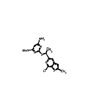 CSc1cc(N)nc(SC(C)c2cc3cc(C)sc3c(Cl)n2)n1